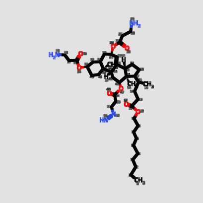 CCCCCCCCCCOC(=O)CCC(C)C1CC[C@H]2C3=C[C@H](OC(=O)CCN)CC4C[C@H](OC(=O)CCN)CC[C@]4(C)[C@H]3C[C@H](OC(=O)CCN=N)[C@]12C